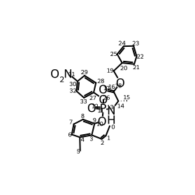 C/C=C\c1c(C)cccc1OP(=O)(N[C@@H](C)C(=O)OCc1ccccc1)Oc1ccc([N+](=O)[O-])cc1